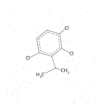 C[C](C)c1c(Cl)ccc(Cl)c1Cl